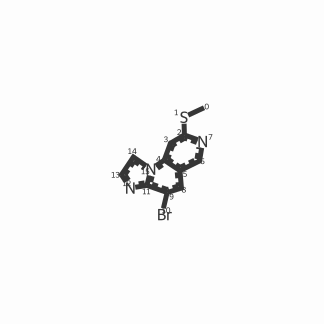 CSc1cc2c(cn1)cc(Br)c1nccn12